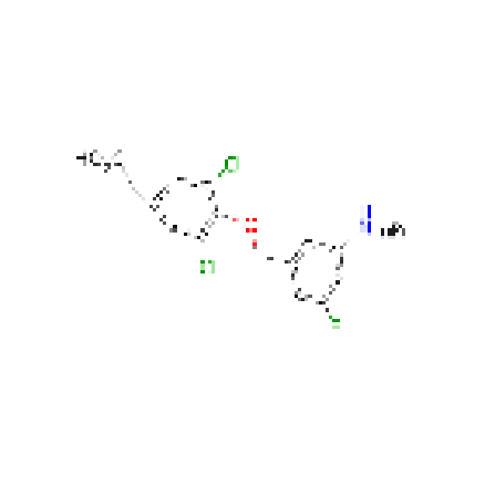 CCCNc1cc(F)cc(COc2c(Cl)cc(CC(=O)O)cc2Cl)c1